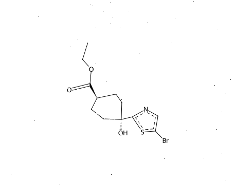 CCOC(=O)[C@H]1CC[C@@](O)(c2ncc(Br)s2)CC1